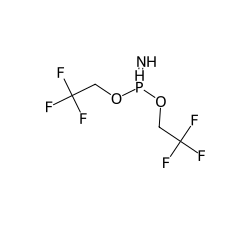 N=[PH](OCC(F)(F)F)OCC(F)(F)F